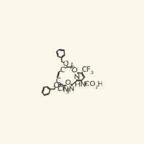 C[C@H]1Oc2nc(c(NC(=O)O)cc2C(F)(F)F)-c2nnc(o2)[C@@](OCc2ccccc2)(C(F)(F)F)CC=CCC1OCc1ccccc1